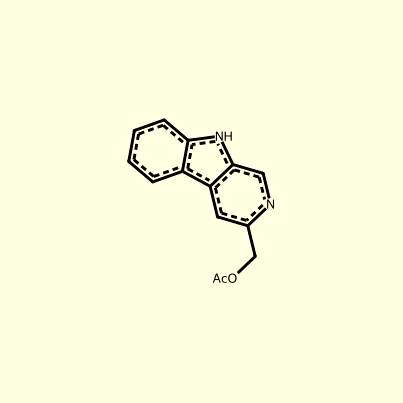 CC(=O)OCc1cc2c(cn1)[nH]c1ccccc12